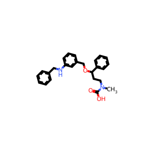 CN(CCC(OCc1cccc(NCc2ccccc2)c1)c1ccccc1)C(=O)O